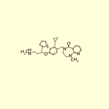 CNCCC(Oc1ccc(CN2CCN(C)c3ncccc3C2=O)c(C2CC2)c1)c1cccs1